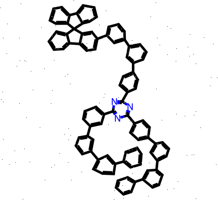 c1ccc(-c2cccc(-c3cccc(-c4ccc(-c5nc(-c6ccc(-c7cccc(-c8cccc(-c9ccc%10c(c9)C9(c%11ccccc%11-c%11ccccc%119)c9ccccc9-%10)c8)c7)cc6)nc(-c6cccc(-c7cccc(-c8cccc(-c9ccccc9)c8)c7)c6)n5)cc4)c3)c2)cc1